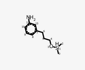 C[SiH](C)OCCCc1cccc(N)c1